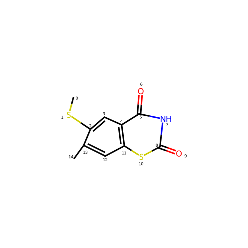 CSc1cc2c(=O)[nH]c(=O)sc2cc1C